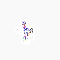 C=C(C(=O)N1CC[C@@H](N(C)c2nc(OCC34CCCN3CCC4)nc3c2CCN(c2cccc4cccc(Cl)c24)C3)C1)c1nc(C(C)(F)F)no1